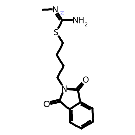 C/N=C(/N)SCCCCN1C(=O)c2ccccc2C1=O